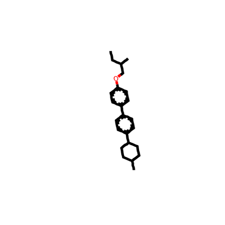 CCC(C)COc1ccc(-c2ccc(C3CCC(C)CC3)cc2)cc1